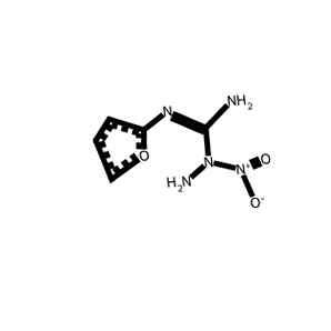 NC(=Nc1ccco1)N(N)[N+](=O)[O-]